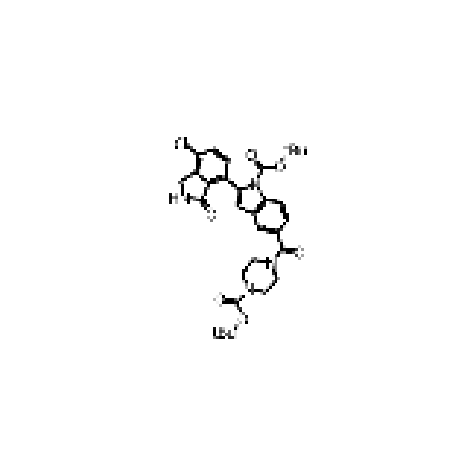 CC(C)(C)OC(=O)N1CCN(C(=O)c2ccc3c(c2)cc(-c2ccc(Cl)c4c2C(=O)NC4)n3C(=O)OC(C)(C)C)CC1